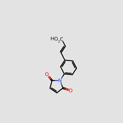 O=C(O)C=Cc1cccc(N2C(=O)C=CC2=O)c1